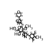 CO[C@@H]1[C@@H](n2cc(-c3cc(F)c(C)c(F)c3)nn2)[C@@H](O)[C@@H](CO)O[C@@H]1Cc1cc(C2CCOCC2)on1